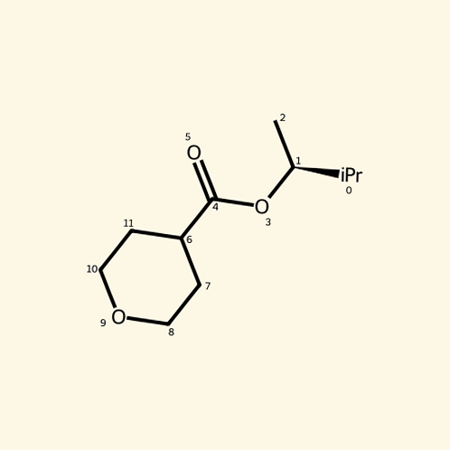 CC(C)[C@H](C)OC(=O)C1CCOCC1